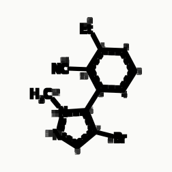 CCc1cccc(-c2c(Br)cnn2C)c1C#N